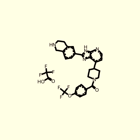 O=C(O)C(F)(F)F.O=C(c1ccc(OC(F)(F)F)cc1)N1CCC(c2ccnc3[nH]c(-c4ccc5c(c4)CCNC5)nc23)CC1